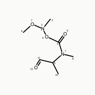 CON(C)OC(=O)N(C)C(C)C=O